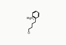 ClCCCCc1ccccc1.[MgH2]